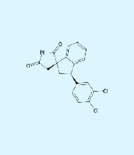 O=C1C[C@@]2(C[C@H](c3ccc(Cl)c(Cl)c3)c3ccccc32)C(=O)N1